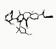 C=CC(=O)N1CCN2C(=O)c3c(N4CC(O)CC4(C)C)nc(-c4cccnc4N)c(F)c3OC[C@H]2C1